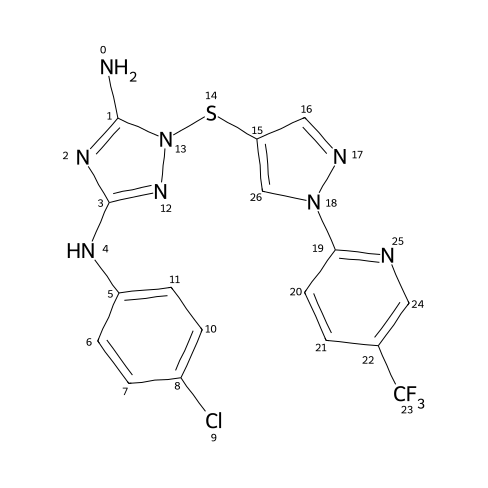 Nc1nc(Nc2ccc(Cl)cc2)nn1Sc1cnn(-c2ccc(C(F)(F)F)cn2)c1